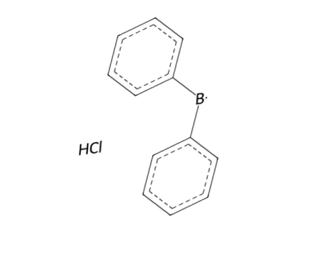 Cl.[B](c1ccccc1)c1ccccc1